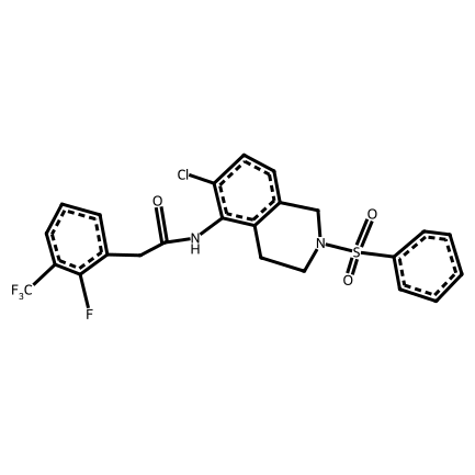 O=C(Cc1cccc(C(F)(F)F)c1F)Nc1c(Cl)ccc2c1CCN(S(=O)(=O)c1ccccc1)C2